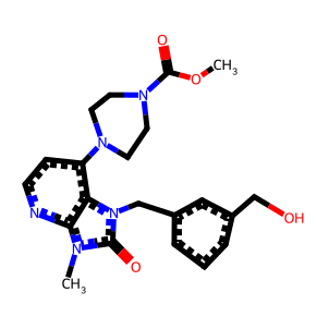 COC(=O)N1CCN(c2ccnc3c2n(Cc2cccc(CO)c2)c(=O)n3C)CC1